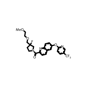 COCCOCC1(F)CCN(C(=O)c2ccc3cc(Oc4ccc(C(F)(F)F)cn4)ccc3n2)C1